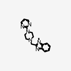 Cn1c(CN2CCN(c3ncccn3)CC2)nc2ccccc21